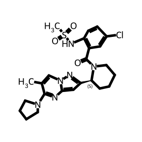 Cc1cn2nc([C@@H]3CCCCN3C(=O)c3cc(Cl)ccc3NS(C)(=O)=O)cc2nc1N1CCCC1